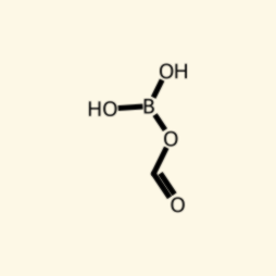 O=COB(O)O